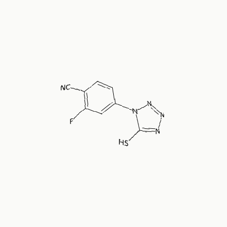 N#Cc1ccc(-n2nnnc2S)cc1F